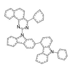 c1ccc(-c2nc(-n3c4ccccc4c4ccc(-c5cccc6c5c5ccccc5n6-c5ccccc5)cc43)nc3c2ccc2ccccc23)cc1